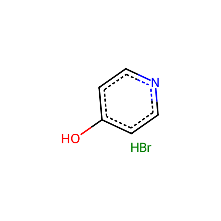 Br.Oc1ccncc1